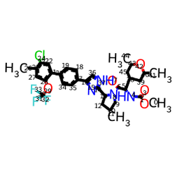 COC(=O)NC(C(=O)N1CC(C)CC1c1nc(-c2ccc(-c3cc(Cl)c(C)cc3OC(F)(F)F)cc2)c[nH]1)C1CC(C)O[C@@H](C)C1